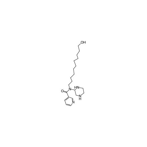 O=C(c1cccnc1)N(CCCCCCCCCCCO)C1CNCCN1